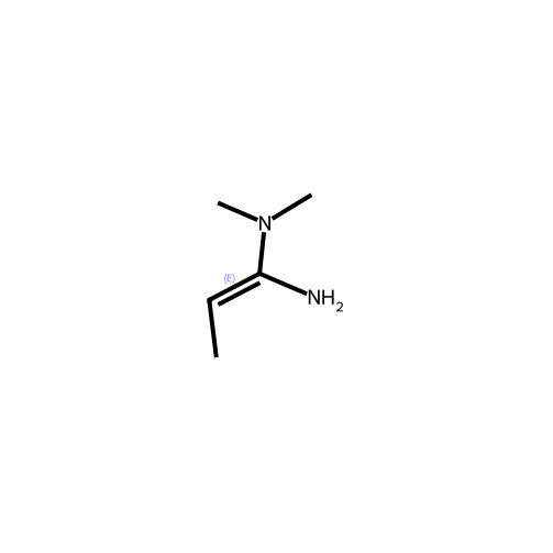 C/C=C(\N)N(C)C